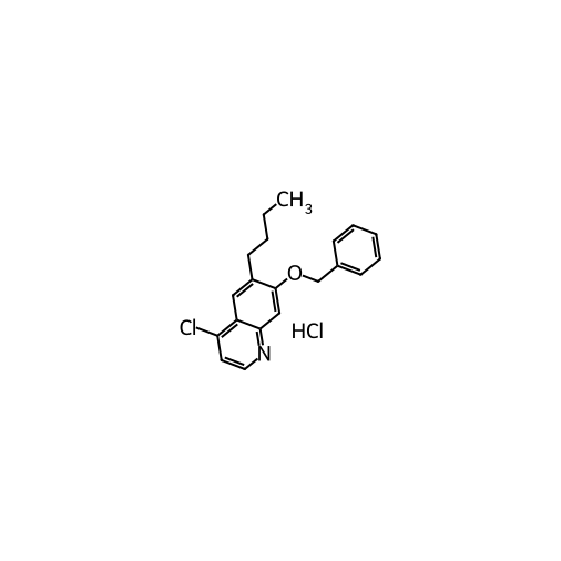 CCCCc1cc2c(Cl)ccnc2cc1OCc1ccccc1.Cl